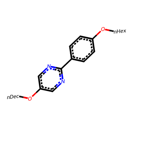 CCCCCCCCCCOc1cnc(-c2ccc(OCCCCCC)cc2)nc1